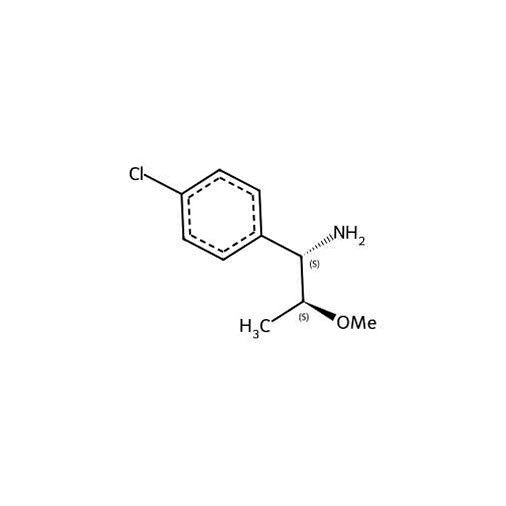 CO[C@@H](C)[C@@H](N)c1ccc(Cl)cc1